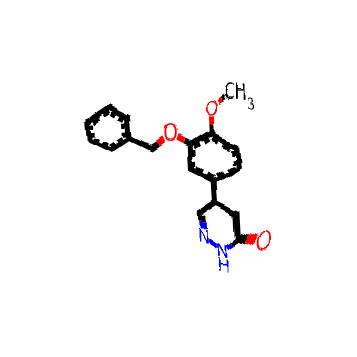 COc1ccc(C2C=NNC(=O)C2)cc1OCc1ccccc1